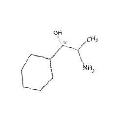 CC(N)[C@@H](O)C1CCCCC1